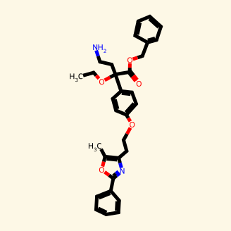 CCOC(CCN)(C(=O)OCc1ccccc1)c1ccc(OCCc2nc(-c3ccccc3)oc2C)cc1